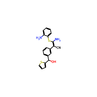 N#C/C(=C(\N)Sc1ccccc1N)c1cccc(C(O)c2cccs2)c1